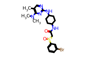 Cc1cnc(NC2CCC(NC(=O)C[S+]([O-])c3cccc(Br)c3)CC2)nc1N(C)C